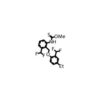 CCc1ccc(OCc2c(NC(=S)OC)cccc2C(F)F)c(C(F)F)c1